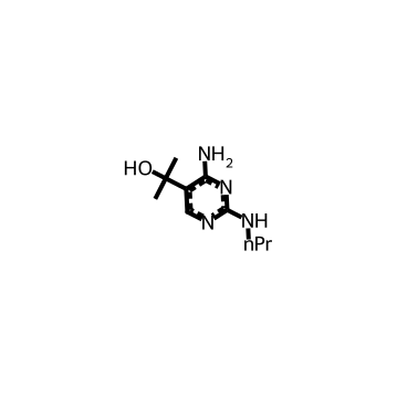 CCCNc1ncc(C(C)(C)O)c(N)n1